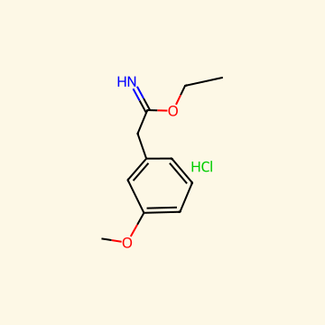 CCOC(=N)Cc1cccc(OC)c1.Cl